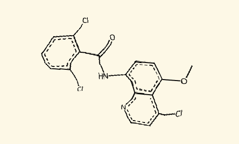 COc1ccc(NC(=O)c2c(Cl)cccc2Cl)c2nccc(Cl)c12